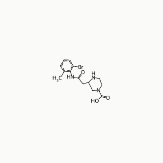 Cc1cccc(Br)c1NC(=O)CC1CN(C(=O)O)CCN1